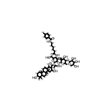 CC1O[C@@H](OC2C(O)[C@@H](NC(=O)CCCCCNC(=O)c3ccc(I)cc3)C(CO)O[C@H]2OC(=O)[C@@]2(CCC(C)(C)C)C(O)CC3(C)C(=CCC4C5(C)CC[C@H](O)C(C)(C)C5CCC43C)C2I)C(O)C(O)[C@H]1O[C@@H]1OC[C@@H](O)C(O)C1O